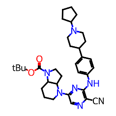 CC(C)(C)OC(=O)N1CCC2C1CCCN2c1cnc(C#N)c(Nc2ccc(C3CCN(C4CCCC4)CC3)cc2)n1